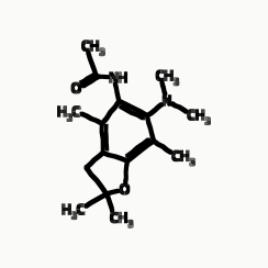 CC(=O)Nc1c(C)c2c(c(C)c1N(C)C)OC(C)(C)C2